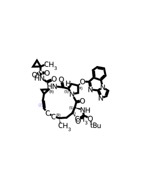 C[C@@H]1CC/C=C\C2C[C@@]2(C(=O)NS(=O)(=O)C2(C)CC2)NC(=O)[C@@H]2C[C@@H](Oc3nc4nccn4c4ccccc34)CN2C(=O)[C@@H](NC(=O)OC(C)(C)C)[C@H](C)C1